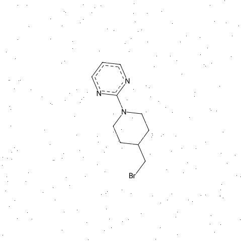 BrCC1CCN(c2ncccn2)CC1